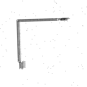 [Cl-].[Cl-].[Cl-].[Cl-].[Cl-].[Cl-].[Cl-].[Cl-].[Cl-].[Cl-].[Cl-].[Cl-].[Cl-].[Cl-].[Cl-].[Cl-].[Cl-].[Cl-].[Cl-].[Cl-].[Cl-].[Cl-].[Cl-].[Cl-].[Cl-].[Cl-].[Cl-].[Cl-].[Cl-].[Cl-].[Cl-].[Cl-].[Cl-].[Cl-].[Cl-].[Cl-].[Cl-].[Cl-].[Cl-].[Cl-].[Cl-].[Cl-].[Cl-].[Cl-].[Cl-].[Cl-].[Cl-].[Cl-].[Cl-].[Cl-].[Cl-].[Cl-].[Cl-].[Cl-].[Cl-].[Cl-].[Cl-].[Cl-].[Cl-].[Cl-].[Pd+2].[Pd+2].[Pd+2].[Pd+2].[Pd+2].[Pd+2].[Pd+2].[Pd+2].[Pd+2].[Pd+2]